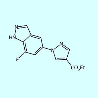 CCOC(=O)c1cnn(-c2cc(F)c3[nH]ncc3c2)c1